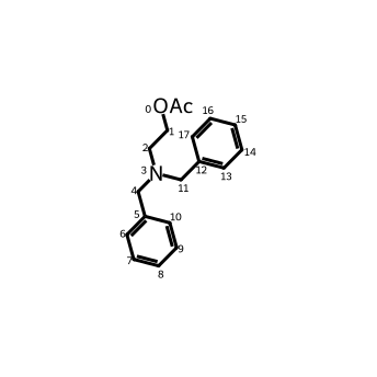 CC(=O)OCCN(Cc1ccccc1)Cc1ccccc1